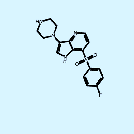 O=S(=O)(c1ccc(F)cc1)c1ccnc2c(N3CCNCC3)c[nH]c12